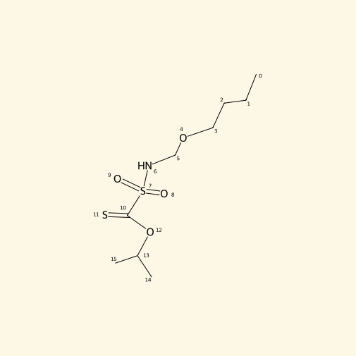 CCCCOCNS(=O)(=O)C(=S)OC(C)C